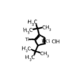 CC(C)(C)C1=[C]([Ti])C(C(C)(C)C)C=C1.Cl.Cl